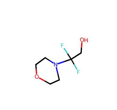 OCC(F)(F)N1CCOCC1